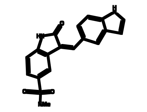 CNS(=O)(=O)c1ccc2c(c1)C(=Cc1ccc3[nH]ccc3c1)C(=O)N2